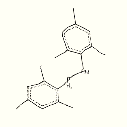 Cc1cc(C)c(P[PH3]c2c(C)cc(C)cc2C)c(C)c1